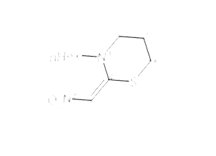 CCCCCCN1CCCSC1=C[N+](=O)[O-]